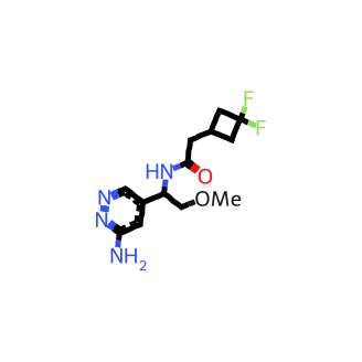 COCC(NC(=O)CC1CC(F)(F)C1)c1cnnc(N)c1